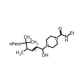 CCCCCC(C)(C)C(C)/C=C/C(O)N1CCN(C(=O)NCC)CC1